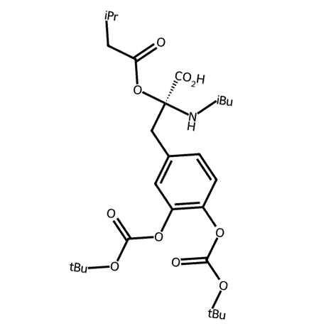 CCC(C)N[C@@](Cc1ccc(OC(=O)OC(C)(C)C)c(OC(=O)OC(C)(C)C)c1)(OC(=O)CC(C)C)C(=O)O